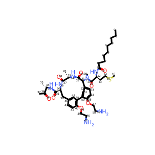 CCCCCCCCCC(=O)N[C@@H](CCSC)C(=O)N(C)[C@@H]1C(=O)N[C@@H](C)C(=O)N[C@H](C(=O)N[C@@H](C)C(C)=O)Cc2ccc(OCCN)c(c2)-c2cc1ccc2OCCN